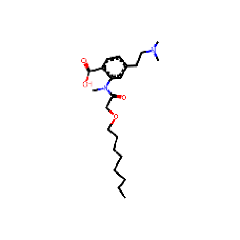 CCCCCCCCOCC(=O)N(C)c1cc(CCN(C)C)ccc1C(=O)O